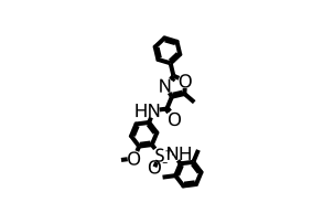 COc1ccc(NC(=O)c2nc(-c3ccccc3)oc2C)cc1[S+]([O-])Nc1c(C)cccc1C